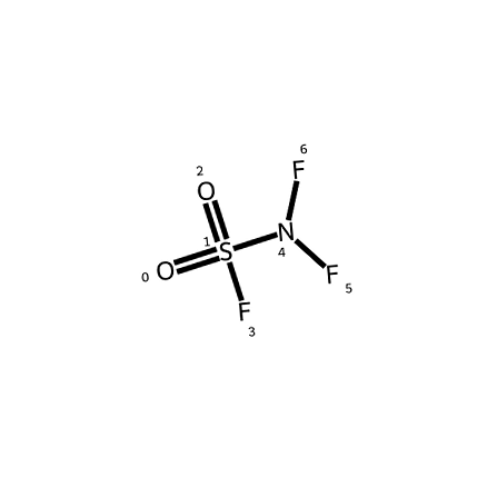 O=S(=O)(F)N(F)F